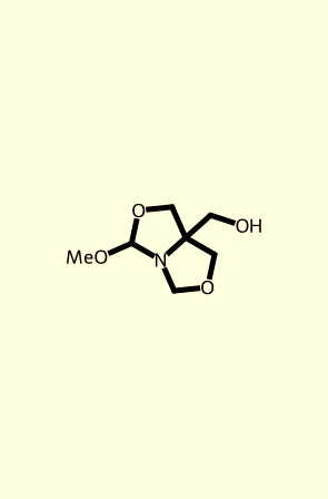 COC1OCC2(CO)COCN12